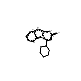 O=c1cc(C2CCCCC2)n2c(n1)sc1ccccc12